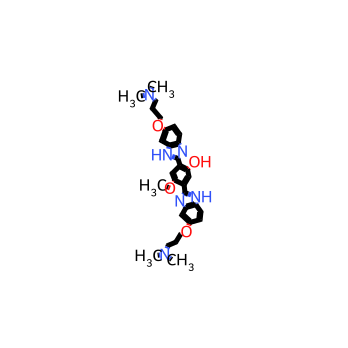 COc1cc(-c2nc3ccc(OCCCN(C)C)cc3[nH]2)c(O)cc1-c1nc2cc(OCCCN(C)C)ccc2[nH]1